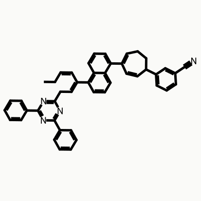 CC/C=C\C(=C/Cc1nc(-c2ccccc2)nc(-c2ccccc2)n1)c1cccc2c(C3=CCCC(c4cccc(C#N)c4)C=C3)cccc12